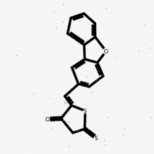 O=C1CC(=S)S/C1=C\c1ccc2oc3ccccc3c2c1